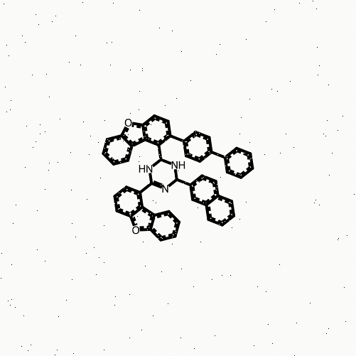 c1ccc(-c2ccc(-c3ccc4oc5ccccc5c4c3C3NC(c4cccc5oc6ccccc6c45)=NC(c4ccc5ccccc5c4)N3)cc2)cc1